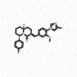 COc1cc(/C=C2\CC[C@H]3CCC[C@H](c4ccc(F)cc4)N3C2=O)ccc1-n1cnc(C)c1